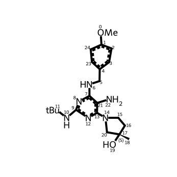 COc1ccc(CNc2nc(NC(C)(C)C)nc(N3CC[C@](C)(O)C3)c2N)cc1